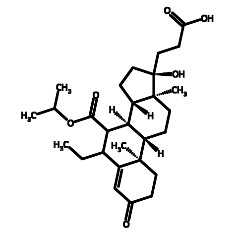 CCC1C2=CC(=O)CC[C@]2(C)[C@H]2CC[C@@]3(C)[C@@H](CC[C@]3(O)CCC(=O)O)[C@@H]2C1C(=O)OC(C)C